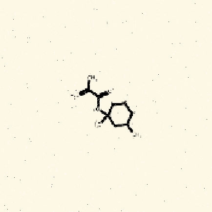 C=C(C)C(=O)OC1(C)CCCC(C)C1